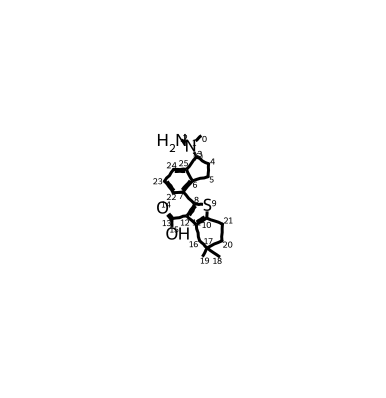 CN(N)[C@H]1CCc2c(-c3sc4c(c3C(=O)O)CC(C)(C)CC4)cccc21